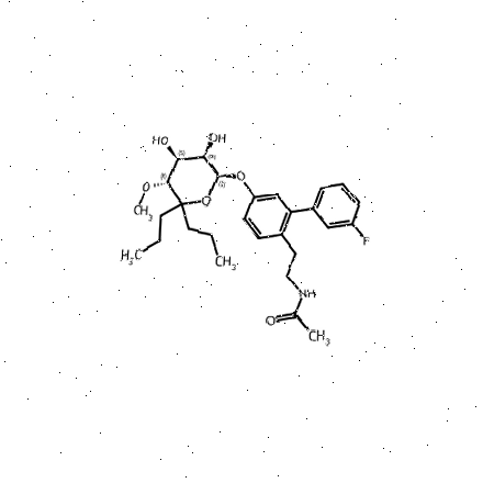 CCCC1(CCC)O[C@H](Oc2ccc(CCNC(C)=O)c(-c3cccc(F)c3)c2)[C@H](O)[C@H](O)[C@H]1OC